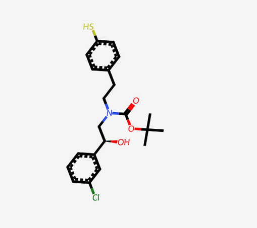 CC(C)(C)OC(=O)N(CCc1ccc(S)cc1)C[C@@H](O)c1cccc(Cl)c1